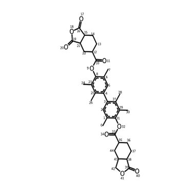 Cc1cc(-c2cc(C)c(OC(=O)C3CCC4C(=O)OC(=O)C4C3)c(C)c2C)c(C)c(C)c1OC(=O)C1CCC2C(=O)OCC2C1